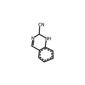 N#CC1N=Cc2ccccc2N1